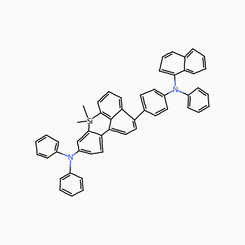 C[Si]1(C)c2cc(N(c3ccccc3)c3ccccc3)ccc2-c2ccc(-c3ccc(N(c4ccccc4)c4cccc5ccccc45)cc3)c3cccc1c23